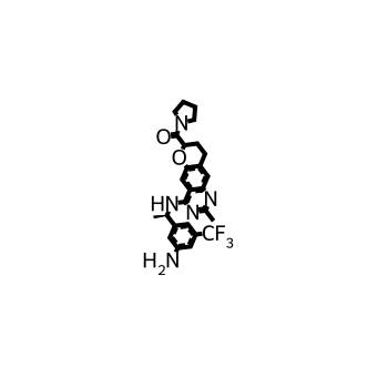 Cc1nc(N[C@H](C)c2cc(N)cc(C(F)(F)F)c2)c2cc3c(cc2n1)CCC(C(=O)N1CCCC1)O3